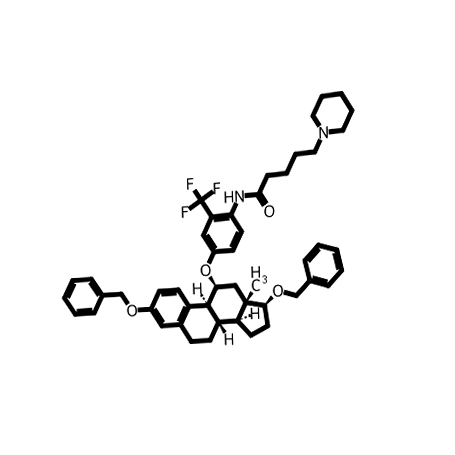 C[C@]12C[C@H](Oc3ccc(NC(=O)CCCCN4CCCCC4)c(C(F)(F)F)c3)[C@@H]3c4ccc(OCc5ccccc5)cc4CC[C@H]3[C@@H]1CC[C@@H]2OCc1ccccc1